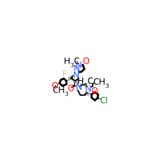 COc1ccc([C@@H]2CN(c3ccc(=O)n(C)n3)C[C@H]2C(=O)N2CCC[C@@H](c3ccc(Cl)cc3)N(C(=O)C(C)C)CC2)c(F)c1